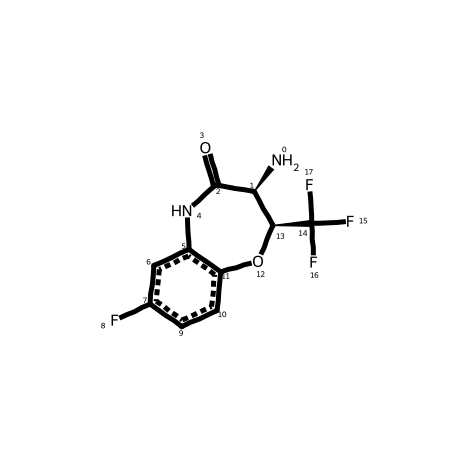 N[C@@H]1C(=O)Nc2cc(F)ccc2O[C@@H]1C(F)(F)F